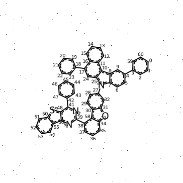 c1ccc(-c2ccc3c(c2)c2c4ccccc4c(-c4ccccc4)cc2n3-c2ccc3c(c2)oc2cccc(-c4nc(-c5ccccc5)c5sc6ccccc6c5n4)c23)cc1